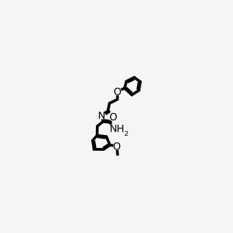 COc1cccc(Cc2nc(CCOc3ccccc3)oc2N)c1